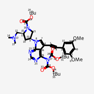 COc1cc(C#Cc2cn([C@H]3C[C@@H](CN(C)C)N(C(=O)OC(C)(C)C)C3)c3ncnc(N(C(=O)OC(C)(C)C)C(=O)OC(C)(C)C)c23)cc(OC)c1